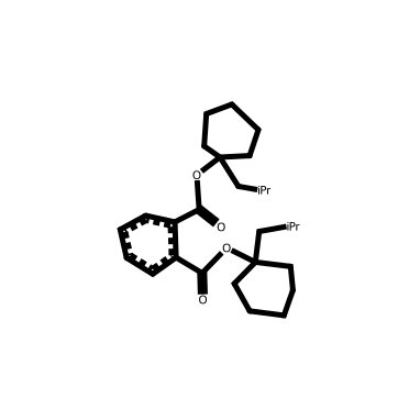 CC(C)CC1(OC(=O)c2ccccc2C(=O)OC2(CC(C)C)CCCCC2)CCCCC1